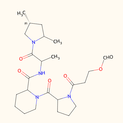 CC(NC(=O)C1CCCCN1C(=O)C1CCCN1C(=O)CCOC=O)C(=O)N1C[C@H](C)CC1C